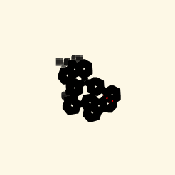 CC1(C)c2ccccc2-c2c(N(c3ccc(-c4ccccc4)cc3)c3ccc4oc5cccc(-c6ccc7c8c(cccc68)-c6ccccc6-7)c5c4c3)cccc21